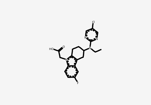 CCN(c1ncc(Cl)cn1)C1CCc2c(c3cc(F)ccc3n2CC(=O)O)C1